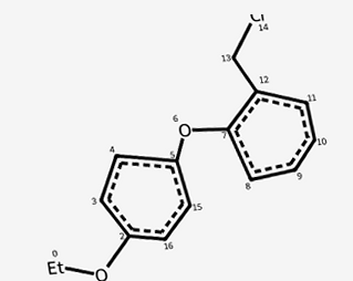 CCOc1ccc(Oc2ccccc2CCl)cc1